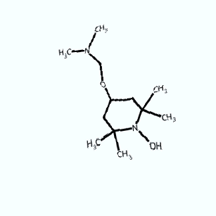 CN(C)COC1CC(C)(C)N(O)C(C)(C)C1